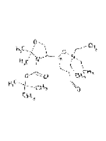 CC[Si](CC)(CC)O[C@H](CCC=O)C1COC(C)(C)N1C(=O)OC(C)(C)C